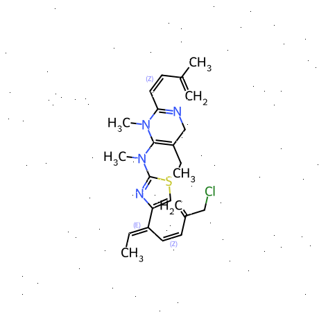 C=C(C)/C=C\C1=NCC(CC)=C(N(C)c2nc(C(/C=C\C(=C)CCl)=C/C)cs2)N1C